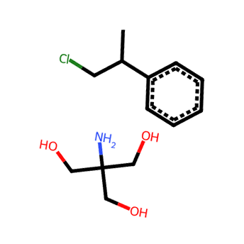 CC(CCl)c1ccccc1.NC(CO)(CO)CO